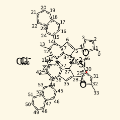 Cc1ccc(C2=Cc3c(cc(C)c(C)c3-c3ccc4ccccc4c3)[CH]2[Zr+2]([CH]2C(c3ccc(C)o3)=Cc3c2cc(C)c(C)c3-c2ccc3ccccc3c2)=[Si](C)C)o1.[Cl-].[Cl-]